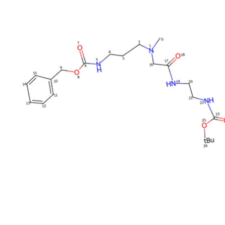 CN(CCCNC(=O)OCc1ccccc1)CC(=O)NCCNC(=O)OC(C)(C)C